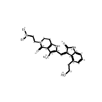 CCN(CC)CCN1CCc2[nH]c(C=C3C(=O)Nc4cccc(CCO)c43)c(C)c2C1=O